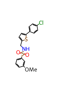 COc1cccc(S(=O)(=O)NCc2ccc(-c3ccc(Cl)cc3)s2)c1